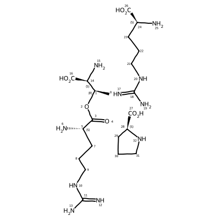 C[C@@H](OC(=O)[C@@H](N)CCCNC(=N)N)[C@H](N)C(=O)O.N=C(N)NCCC[C@H](N)C(=O)O.O=C(O)[C@@H]1CCCN1